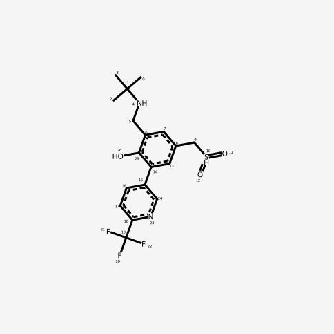 CC(C)(C)NCc1cc(C[SH](=O)=O)cc(-c2ccc(C(F)(F)F)nc2)c1O